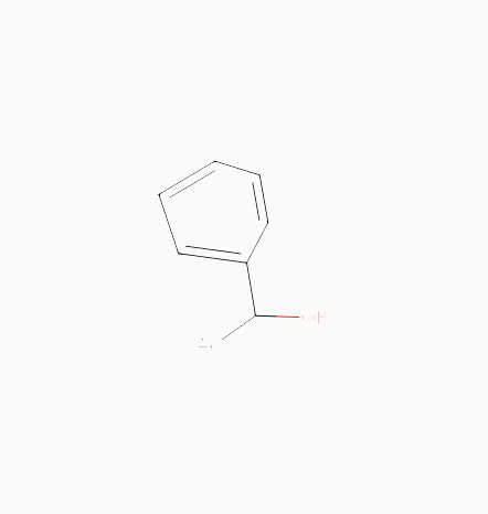 CC(=O)C(O)c1ccccc1